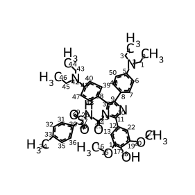 CCN(CC)c1ccc(-c2nc(-c3cc(OC)c(O)c(OC)c3)n(C(=O)NS(=O)(=O)c3ccc(C)cc3)c2-c2ccc(N(CC)CC)cc2)cc1